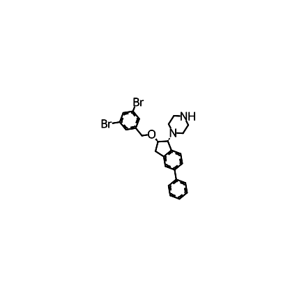 Brc1cc(Br)cc(CO[C@@H]2Cc3cc(-c4ccccc4)ccc3[C@H]2N2CCNCC2)c1